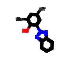 CCCc1cc(-n2nc3ccccc3n2)c(O)c(C(C)(C)C)c1